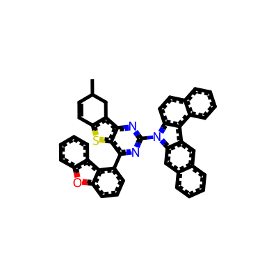 CC1C=Cc2sc3c(-c4cccc5oc6ccccc6c45)nc(-n4c5cc6ccccc6cc5c5c6ccccc6ccc54)nc3c2C1